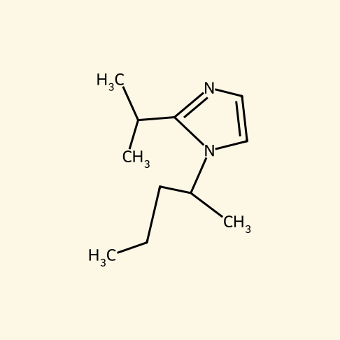 CCCC(C)n1ccnc1C(C)C